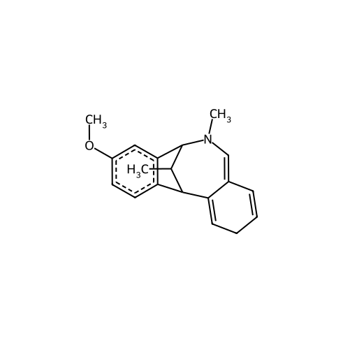 COc1ccc2c(c1)C1C(C)C2C2=CCC=CC2=CN1C